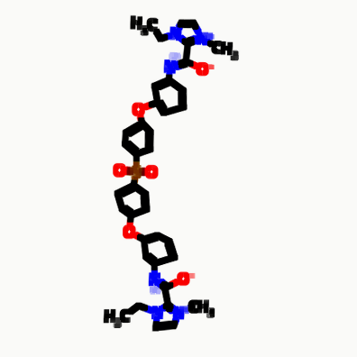 CCn1cc[n+](C)c1/C([O-])=N/c1cccc(Oc2ccc(S(=O)(=O)c3ccc(Oc4cccc(/N=C(\[O-])c5n(CC)cc[n+]5C)c4)cc3)cc2)c1